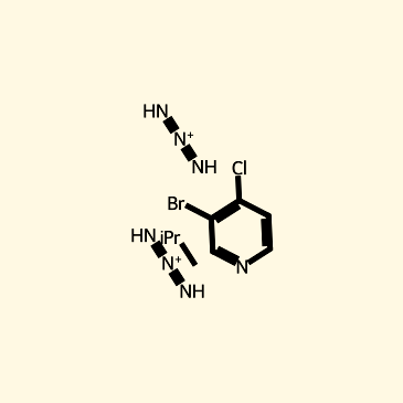 CC(C)C.Clc1ccncc1Br.N=[N+]=N.N=[N+]=N